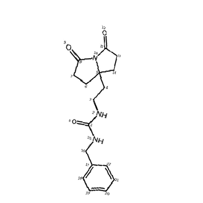 O=C(NCCC12CCC(=O)N1C(=O)CC2)NCc1ccccc1